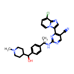 C[C@H](Nc1ncc(C#N)c(-c2cnc3c(Cl)cccn23)n1)c1ccc(C(O)C2CCN(C)CC2)cc1